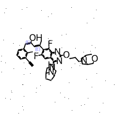 C#Cc1cccc(/C=C(O)\C=C(/C)c2c(F)cc3c(N4CC5CCC(C4)N5)nc(OCCCN4C5CCC4COC5)nc3c2F)c1C